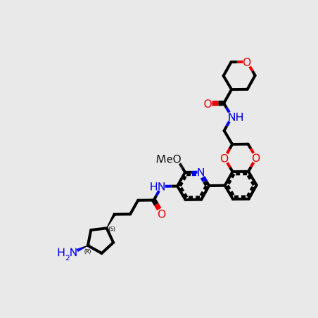 COc1nc(-c2cccc3c2OC(CNC(=O)C2CCOCC2)CO3)ccc1NC(=O)CCC[C@H]1CC[C@@H](N)C1